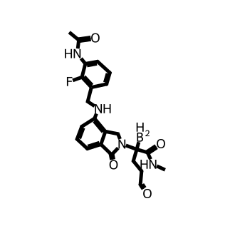 BC(CCC=O)(C(=O)NC)N1Cc2c(NCc3cccc(NC(C)=O)c3F)cccc2C1=O